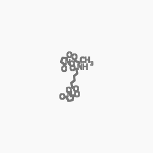 C[C@H](NC(=O)CCCCC(=O)ON1C(=O)CCC1=O)C(=O)ON1C(=O)CCC1=O